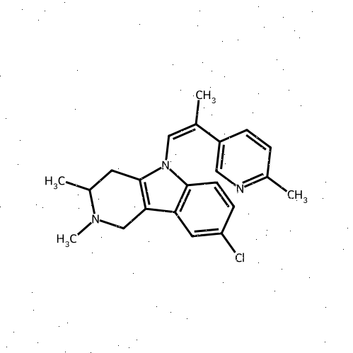 C/C(=C/n1c2c(c3cc(Cl)ccc31)CN(C)C(C)C2)c1ccc(C)nc1